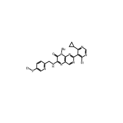 CCSc1ccc(CNc2nc3cnc(-c4c(CC)ncnc4C4CC4)nc3n(C(C)CC)c2=O)nc1